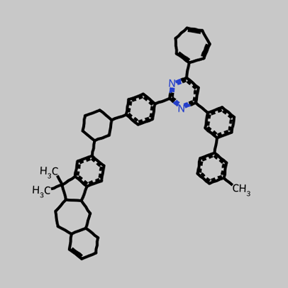 Cc1cccc(-c2cccc(-c3cc(C4=CCC=CC=C4)nc(-c4ccc(C5CCCC(c6ccc7c(c6)C(C)(C)C6CCC8C=CCCC8CC76)C5)cc4)n3)c2)c1